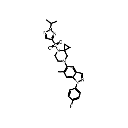 Cc1cc2c(cnn2-c2ccc(F)cc2)cc1N1CCN(S(=O)(=O)c2cnn(C(C)C)n2)C2(CC2)C1